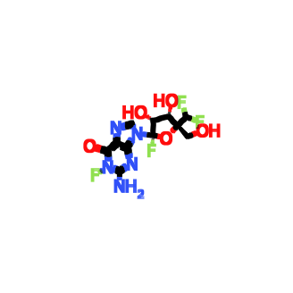 Nc1nc2c(ncn2[C@]2(F)O[C@@](CO)(C(F)F)[C@@H](O)[C@H]2O)c(=O)n1F